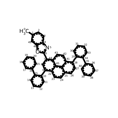 Cc1ccc2nc(-c3cc(-c4ccccc4-c4ccccc4)c4ccc5ccc(-c6ccccc6-c6ccccc6)c6ccc3c4c56)oc2c1